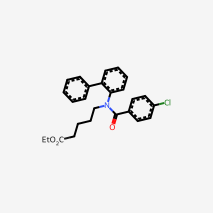 CCOC(=O)CCCCN(C(=O)c1ccc(Cl)cc1)c1ccccc1-c1ccccc1